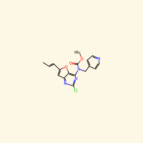 C/C=C/c1cc2nc(Cl)nc(N(Cc3ccncc3)C(=O)OC(C)(C)C)c2o1